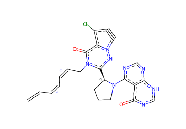 C=C/C=C\C=C/Cn1c([C@@H]2CCCN2c2ncnc3[nH]cnc(=O)c23)nn2c#cc(Cl)c2c1=O